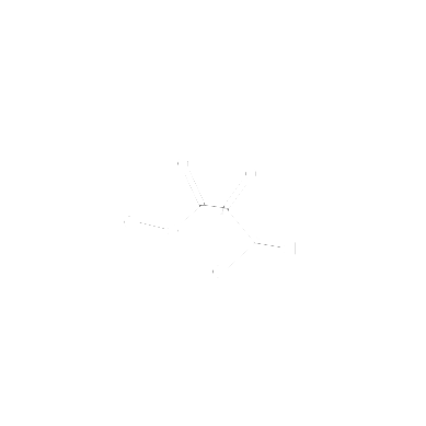 O=C(OCl)C(=O)C(Cl)Cl